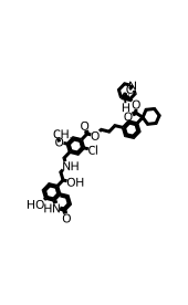 COc1cc(C(=O)OCCCc2cccc(C3(C(=O)O[C@H]4CN5CCC4CC5)CCCCC3)c2)c(Cl)cc1CNCC(O)c1ccc(O)c2[nH]c(=O)ccc12